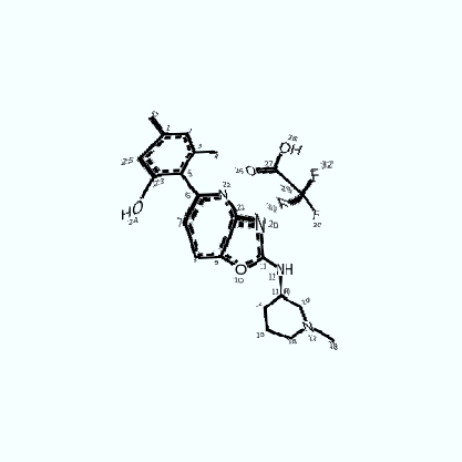 Cc1cc(C)c(-c2ccc3oc(N[C@@H]4CCCN(C)C4)nc3n2)c(O)c1.O=C(O)C(F)(F)F